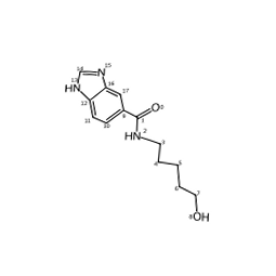 O=C(NCCCCCO)c1ccc2[nH]cnc2c1